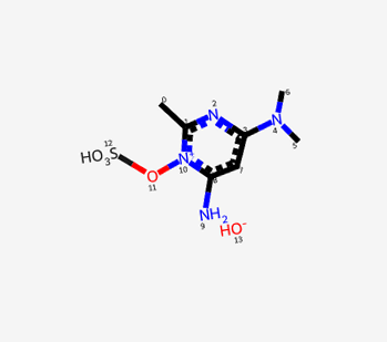 Cc1nc(N(C)C)cc(N)[n+]1OS(=O)(=O)O.[OH-]